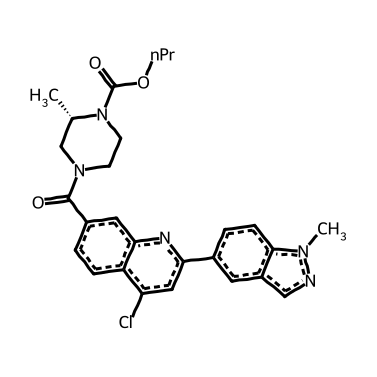 CCCOC(=O)N1CCN(C(=O)c2ccc3c(Cl)cc(-c4ccc5c(cnn5C)c4)nc3c2)C[C@@H]1C